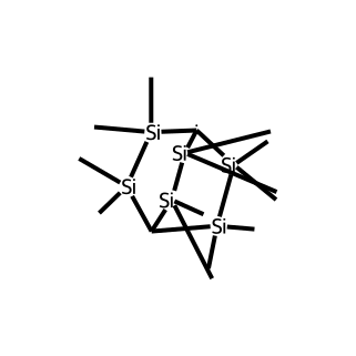 C[Si]1(C)[C]2[Si](C)(C)[Si](C)(C)C([Si]1(C)C)[Si](C)(C)[Si]2(C)C